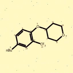 CCCCc1ccc(OC2CCOCC2)c(C(F)(F)F)c1